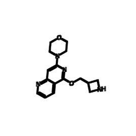 c1cnc2cc(N3CCOCC3)nc(OCC3CNC3)c2c1